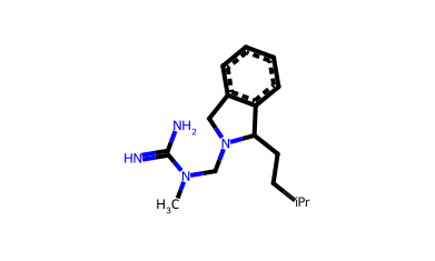 CC(C)CCC1c2ccccc2CN1CN(C)C(=N)N